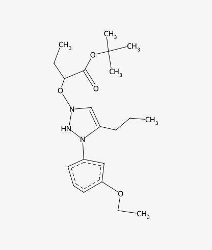 CCCC1=CN(OC(CC)C(=O)OC(C)(C)C)NN1c1cccc(OCC)c1